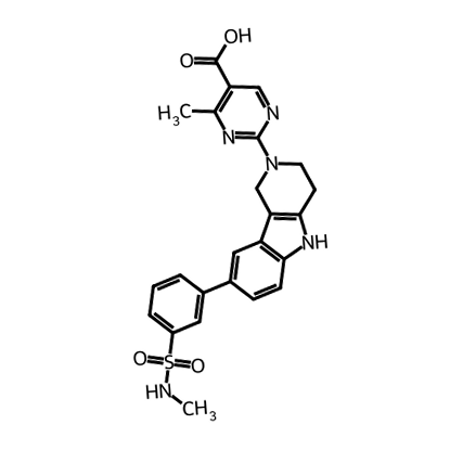 CNS(=O)(=O)c1cccc(-c2ccc3[nH]c4c(c3c2)CN(c2ncc(C(=O)O)c(C)n2)CC4)c1